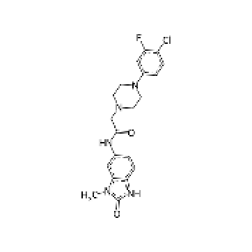 Cn1c(=O)[nH]c2ccc(NC(=O)CN3CCN(c4ccc(Cl)c(F)c4)CC3)cc21